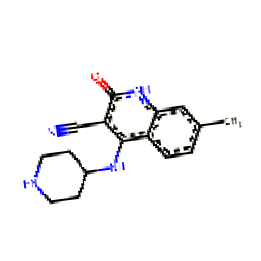 Cc1ccc2c(NC3CCNCC3)c(C#N)c(=O)[nH]c2c1